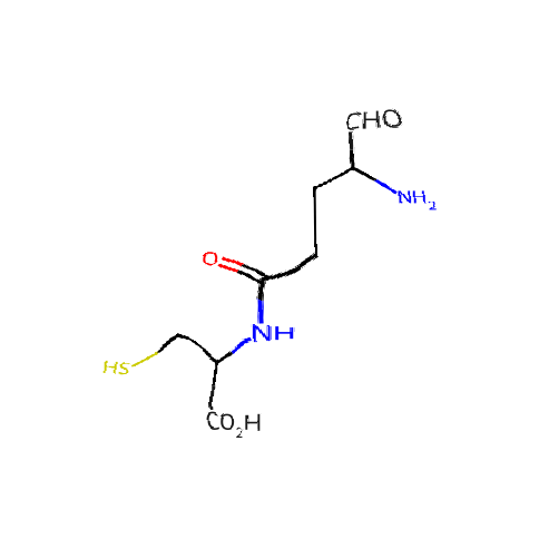 NC(C=O)CCC(=O)NC(CS)C(=O)O